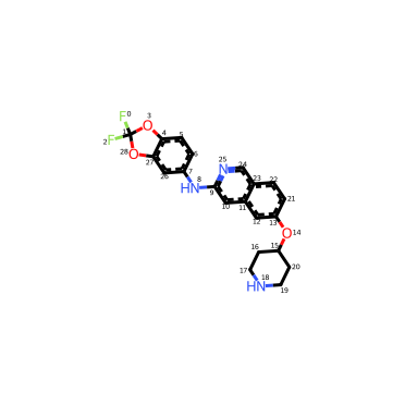 FC1(F)Oc2ccc(Nc3cc4cc(OC5CCNCC5)ccc4cn3)cc2O1